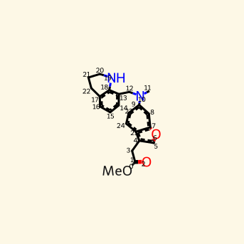 COC(=O)Cc1coc2cc(N(C)Cc3cccc4c3NCCC4)ccc12